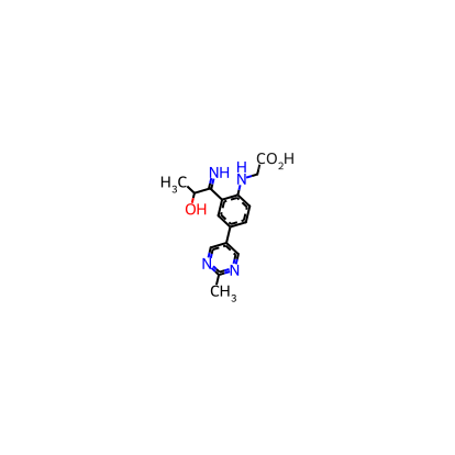 Cc1ncc(-c2ccc(NCC(=O)O)c(C(=N)C(C)O)c2)cn1